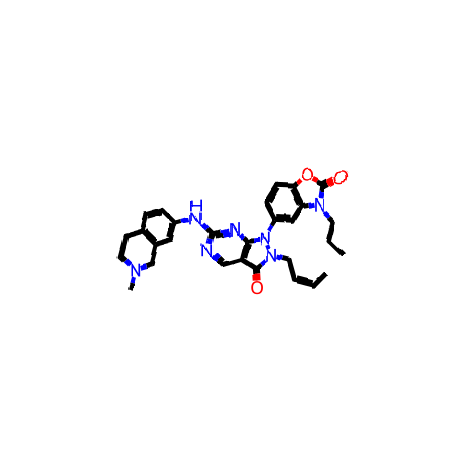 C/C=C\Cn1c(=O)c2cnc(Nc3ccc4c(c3)CN(C)CC4)nc2n1-c1ccc2oc(=O)n(CCC)c2c1